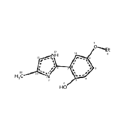 CCOc1ccc(O)c(-c2nc(C)c[nH]2)c1